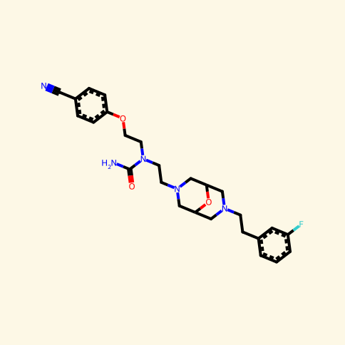 N#Cc1ccc(OCCN(CCN2CC3CN(CCc4cccc(F)c4)CC(C2)O3)C(N)=O)cc1